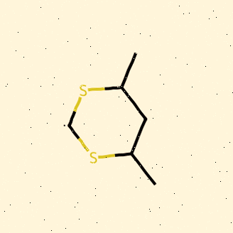 CC1CC(C)S[CH]S1